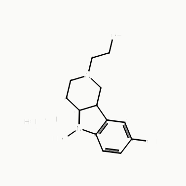 Cc1ccc2c(c1)C1CN(CCO)CCC1N2C.Cl.Cl